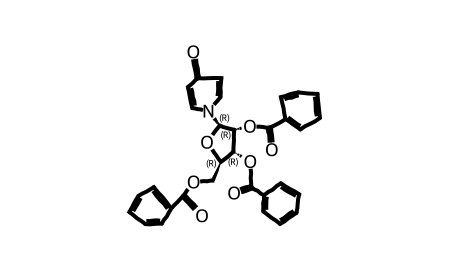 O=C(OC[C@H]1O[C@@H](n2ccc(=O)cc2)[C@H](OC(=O)c2ccccc2)[C@@H]1OC(=O)c1ccccc1)c1ccccc1